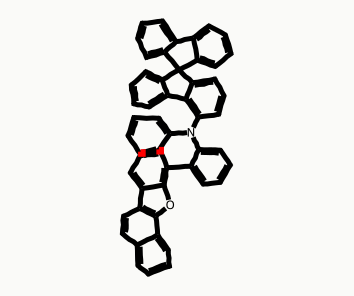 c1ccc(N(c2ccccc2-c2cccc3c2oc2c4ccccc4ccc32)c2cccc3c2-c2ccccc2C32c3ccccc3-c3ccccc32)cc1